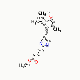 CCOC(=O)CCCCc1ncc(C#Cc2cc3c(cc2C)OCCC3(CC)CC)cn1